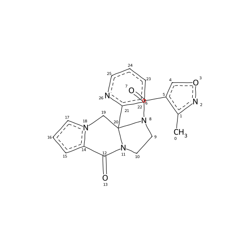 Cc1nocc1C(=O)N1CCN2C(=O)c3cccn3CC12c1ccccn1